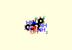 NC(=O)c1[nH]c2cc(F)cc(F)c2c1-c1cc([C@@H]2CCCCN2C(=O)O)[nH]n1